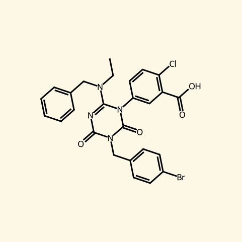 CCN(Cc1ccccc1)c1nc(=O)n(Cc2ccc(Br)cc2)c(=O)n1-c1ccc(Cl)c(C(=O)O)c1